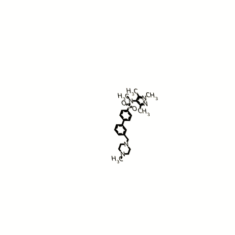 Cc1nn(C)c(C)c1N(C)S(=O)(=O)c1ccc(-c2cccc(CN3CCN(C)CC3)c2)cc1